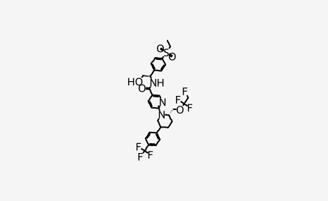 CCS(=O)(=O)c1ccc([C@H](CO)NC(=O)c2ccc(N3CC(c4ccc(C(F)(F)F)cc4)CC[C@H]3COC(F)(F)CF)nc2)cc1